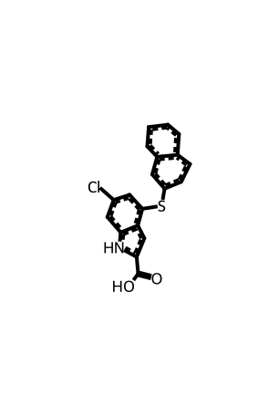 O=C(O)c1cc2c(Sc3ccc4ccccc4c3)cc(Cl)cc2[nH]1